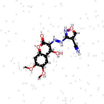 COc1cc2oc(=O)c(N=Nc3nocc3C#N)c(O)c2cc1OC